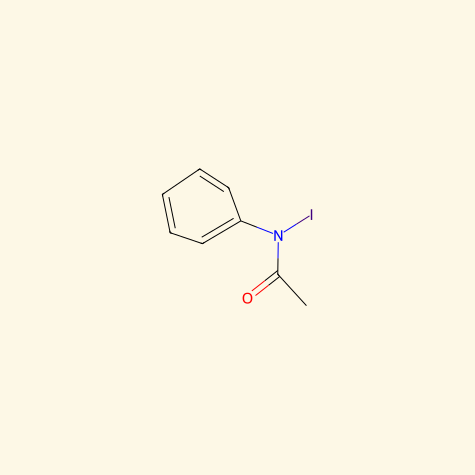 CC(=O)N(I)c1ccccc1